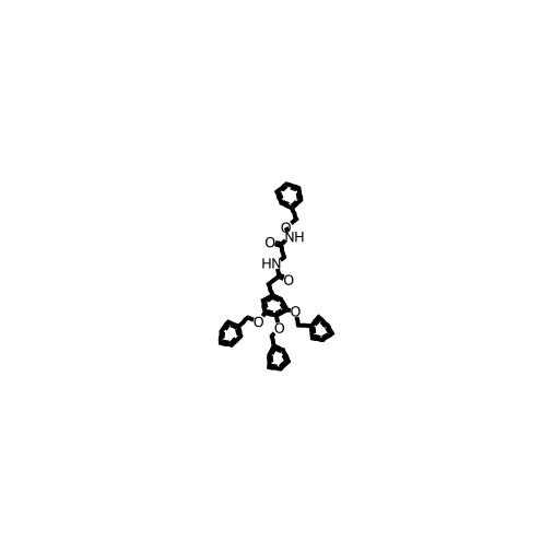 O=C(Cc1cc(OCc2ccccc2)c(OCc2ccccc2)c(OCc2ccccc2)c1)NCC(=O)NOCc1ccccc1